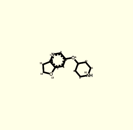 c1nc2c(cc1OC1CCNCC1)OCC2